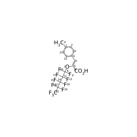 [CH2]c1ccc(C=C(OC(F)(F)C(F)(F)C(F)(F)C(F)(F)C(F)(F)F)C(=O)O)cc1